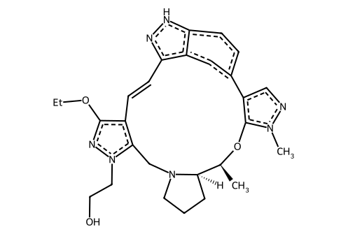 CCOc1nn(CCO)c2c1/C=C/c1n[nH]c3ccc(cc13)-c1cnn(C)c1O[C@@H](C)[C@H]1CCCN1C2